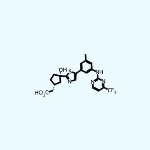 Cc1cc(Nc2nccc(C(F)(F)F)n2)cc(-c2cnc([C@]3(O)CC[C@@H](CC(=O)O)C3)s2)c1